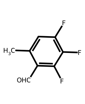 Cc1cc(F)c(F)c(F)c1C=O